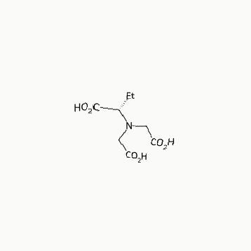 CC[C@@H](C(=O)O)N(CC(=O)O)CC(=O)O